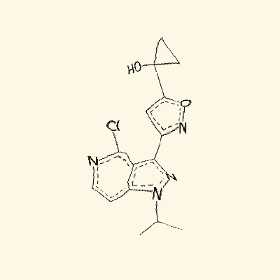 CC(C)n1nc(-c2cc(C3(O)CC3)on2)c2c(Cl)nccc21